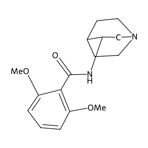 COc1cccc(OC)c1C(=O)NC1CN2CCC1CC2